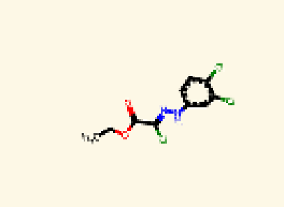 CCOC(=O)C(Cl)=NNc1ccc(Cl)c(Cl)c1